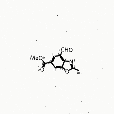 COC(=O)c1cc(C=O)c2nc(C)oc2c1